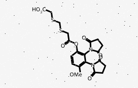 COc1ccc(OC(=O)CSCSCC(=O)O)c(N2C(=O)CCC2=O)c1N1C(=O)CCC1=O